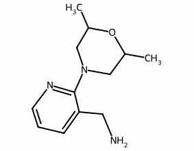 CC1CN(c2ncccc2CN)CC(C)O1